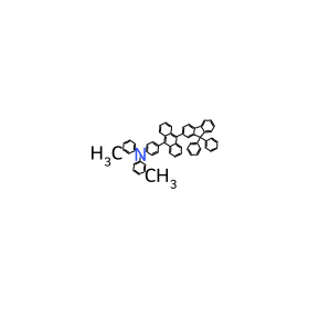 Cc1cccc(N(c2ccc(-c3c4ccccc4c(-c4ccc5c(c4)C(c4ccccc4)(c4ccccc4)c4ccccc4-5)c4ccccc34)cc2)c2cccc(C)c2)c1